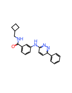 O=C(NCC1CCC1)c1cccc(Nc2ccc(-c3ccccc3)nn2)c1